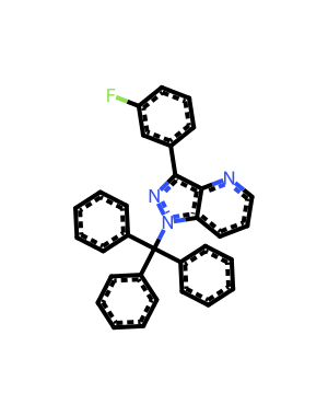 Fc1cccc(-c2nn(C(c3ccccc3)(c3ccccc3)c3ccccc3)c3cccnc23)c1